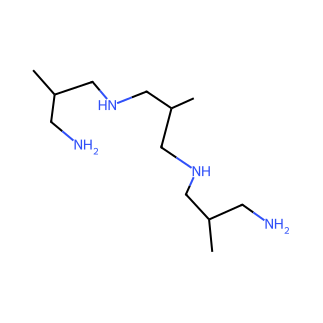 CC(CN)CNCC(C)CNCC(C)CN